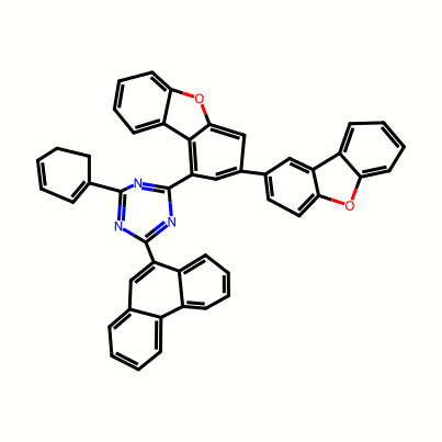 C1=CCCC(c2nc(-c3cc4ccccc4c4ccccc34)nc(-c3cc(-c4ccc5oc6ccccc6c5c4)cc4oc5ccccc5c34)n2)=C1